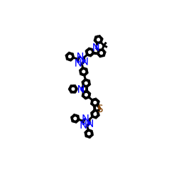 CC1(C)c2ccccc2-n2c3ccc(-c4nc(-c5ccccc5)nc(-c5ccc(-c6ccc7c8cc(-c9ccc%10sc%11ccc(-c%12nc(-c%13ccccc%13)nc(-c%13ccccc%13)n%12)cc%11c%10c9)ccc8n(-c8ccccc8)c7c6)cc5)n4)cc3c3cccc1c32